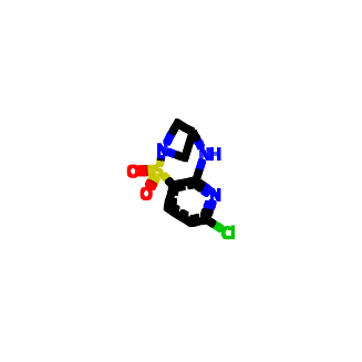 O=S1(=O)c2ccc(Cl)nc2NC2CN1C2